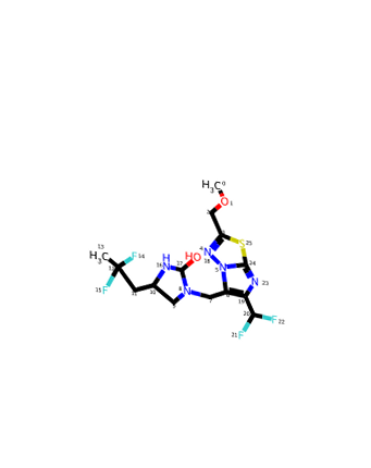 COCc1nn2c(CN3CC(CC(C)(F)F)NC3O)c(C(F)F)nc2s1